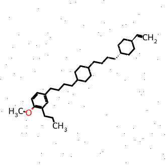 C=C[C@H]1CC[C@H](CCCCC2CCC(CCCCc3ccc(OC)c(CCC)c3)CC2)CC1